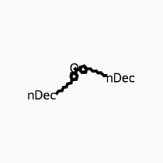 CCCCCCCCCCCCCCCCCc1ccc(C(=O)c2ccc(CCCCCCCCCCCCCCCCC)cc2)cc1